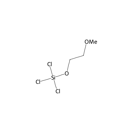 COCCO[Si](Cl)(Cl)Cl